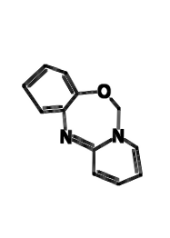 C1=CC2=Nc3ccccc3OCN2C=C1